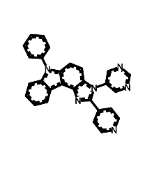 c1ccc(-n2c3ccccc3c3c4nc(-c5ccncc5)n(-c5cncnc5)c4ccc32)cc1